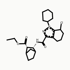 CCOC(=O)[C@H]1C2CCC(C2)[C@H]1NC(=O)c1nn(C2CCCCC2)c2c1CCCC2Cl